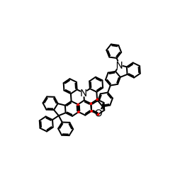 c1ccc(-c2ccccc2N(c2ccccc2-c2cccc3c2-c2ccccc2C3(c2ccccc2)c2ccccc2)c2cccc3oc4ccc(-c5ccc6c(c5)c5ccccc5n6-c5ccccc5)cc4c23)cc1